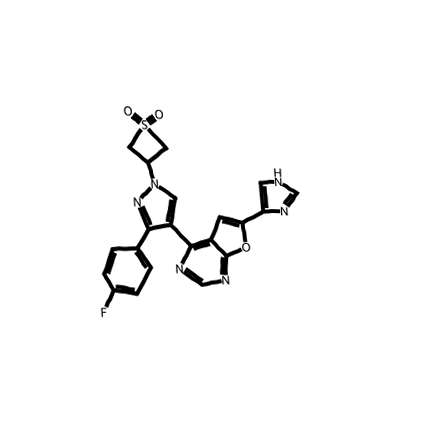 O=S1(=O)CC(n2cc(-c3ncnc4oc(-c5c[nH]cn5)cc34)c(-c3ccc(F)cc3)n2)C1